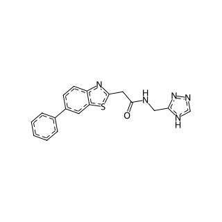 O=C(Cc1nc2ccc(-c3ccccc3)cc2s1)NCc1nnc[nH]1